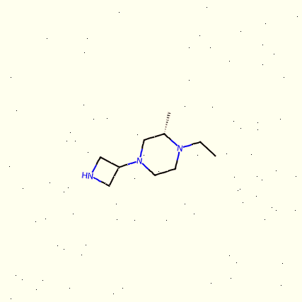 CCN1CCN(C2CNC2)C[C@@H]1C